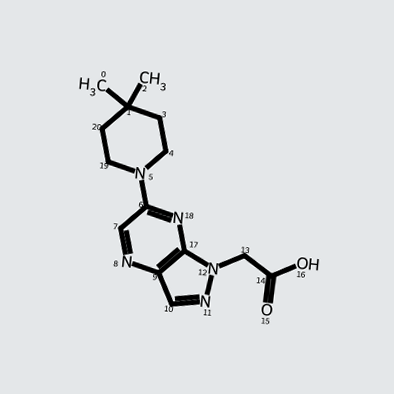 CC1(C)CCN(c2cnc3cnn(CC(=O)O)c3n2)CC1